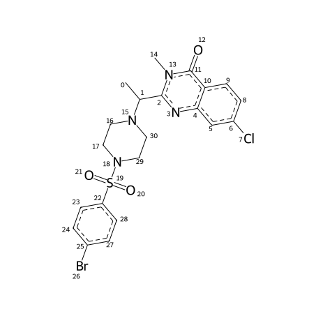 CC(c1nc2cc(Cl)ccc2c(=O)n1C)N1CCN(S(=O)(=O)c2ccc(Br)cc2)CC1